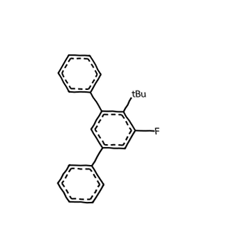 CC(C)(C)c1c(F)cc(-c2ccccc2)cc1-c1ccccc1